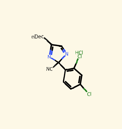 CCCCCCCCCCC1=NC(C#N)(c2ccc(Cl)cc2Cl)N=C1.Cl